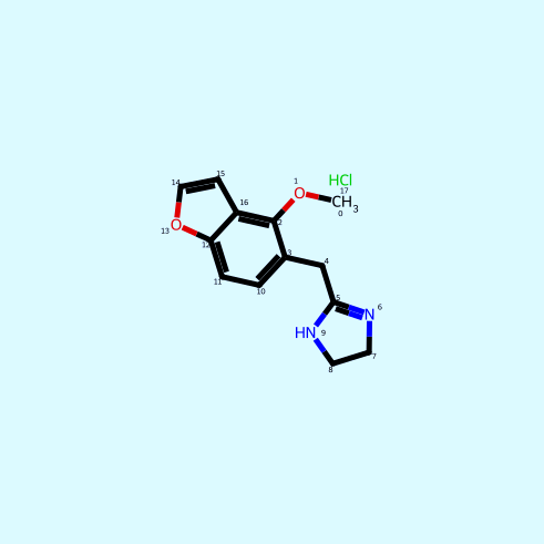 COc1c(CC2=NCCN2)ccc2occc12.Cl